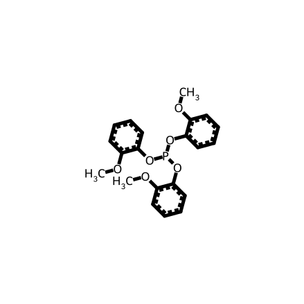 COc1ccccc1OP(Oc1ccccc1OC)Oc1ccccc1OC